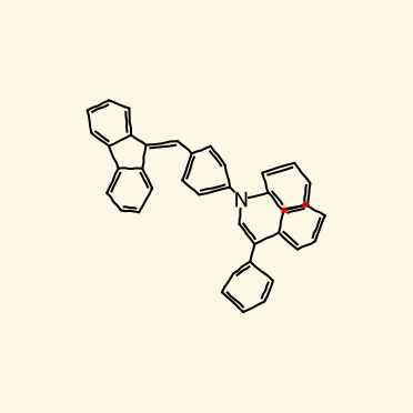 C(=C(c1ccccc1)c1ccccc1)N(c1ccccc1)c1ccc(C=C2c3ccccc3-c3ccccc32)cc1